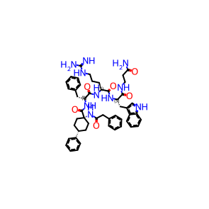 N=C(N)NCCC[C@H](NC(=O)[C@@H](Cc1ccccc1)NC(=O)[C@]1(NC(=O)Cc2ccccc2)CC[C@@H](c2ccccc2)CC1)C(=O)N[C@@H](Cc1c[nH]c2ccccc12)C(=O)NCCC(N)=O